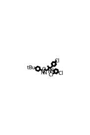 Cc1c(-c2nnc(C3CCC(C(C)(C)C)CC3)o2)nn(-c2ccc(Cl)cc2Cl)c1-c1ccc(Cl)cc1